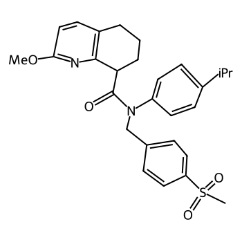 COc1ccc2c(n1)C(C(=O)N(Cc1ccc(S(C)(=O)=O)cc1)c1ccc(C(C)C)cc1)CCC2